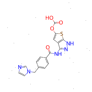 O=C(O)Oc1cc2c(NC(=O)c3ccc(Cn4ccnc4)cc3)n[nH]c2s1